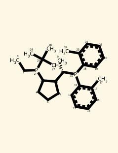 CCP([C]1[CH][CH][CH][C]1[C@H](C)P(c1ccccc1C)c1ccccc1C)C(C)(C)C